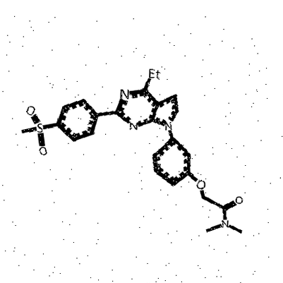 CCc1nc(-c2ccc(S(C)(=O)=O)cc2)nc2c1ccn2-c1cccc(OCC(=O)N(C)C)c1